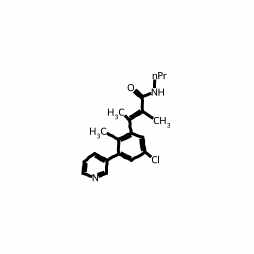 CCCNC(=O)/C(C)=C(\C)c1cc(Cl)cc(-c2cccnc2)c1C